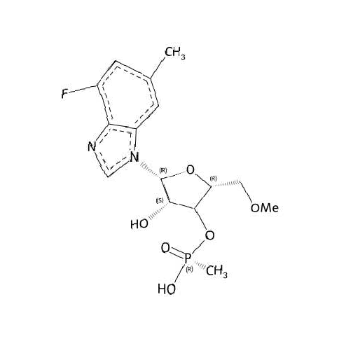 COC[C@H]1O[C@@H](n2cnc3c(F)cc(C)cc32)[C@@H](O)C1O[P@](C)(=O)O